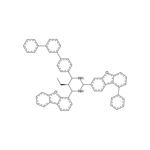 CC[C@H]1C(c2ccc(-c3cccc(-c4ccccc4)c3)cc2)NC(c2ccc3c(c2)oc2cccc(-c4ccccc4)c23)NC1c1cccc2c1oc1ccccc12